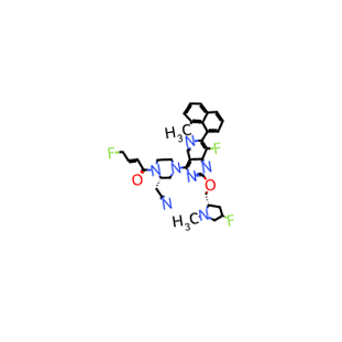 Cc1cccc2cccc(-c3ncc4c(N5CCN(C(=O)/C=C/CF)[C@@H](CC#N)C5)nc(OC[C@@H]5C[C@@H](F)CN5C)nc4c3F)c12